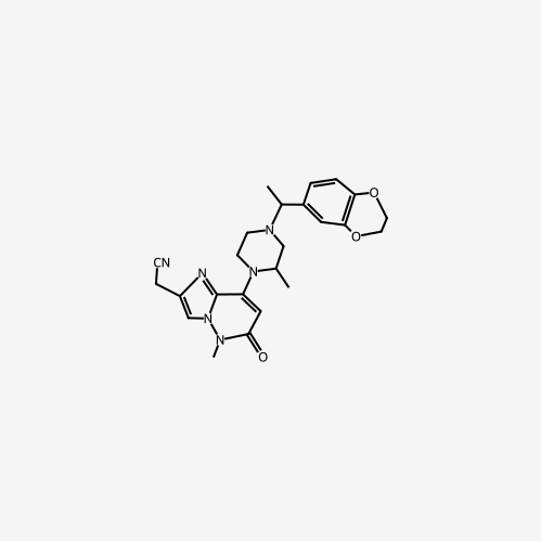 CC(c1ccc2c(c1)OCCO2)N1CCN(c2cc(=O)n(C)n3cc(CC#N)nc23)C(C)C1